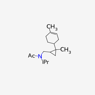 CC(=O)N(CC1CC1(C)C1CC=C(C)CC1)C(C)C